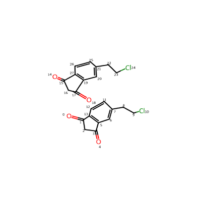 O=C1CC(=O)c2cc(CCCl)ccc21.O=C1CC(=O)c2cc(CCCl)ccc21